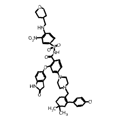 CC1(C)CCC(CN2CCN(c3ccc(C(=O)NS(=O)(=O)c4ccc(NCC5CCOCC5)c([N+](=O)[O-])c4)c(Oc4ccc5c(c4)CC(=O)N5)c3)CC2)=C(c2ccc(Cl)cc2)C1